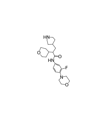 O=C(Nc1ccc(N2CCOCC2)c(F)c1)C(CC1CCNCC1)C1CCOCC1